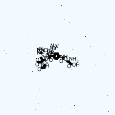 Cn1nnnc1SCC1=C(C(=O)[O-])N2C(=O)C[C@@H]2SC1NC(=O)C(c1ccc(NC(=O)OC[C@@H](N)C(=O)O)cc1)S(=O)(=O)[O-].[Na+].[Na+]